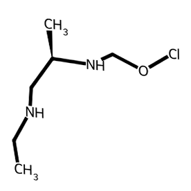 CCNC[C@@H](C)NCOCl